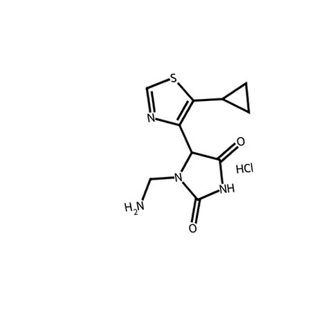 Cl.NCN1C(=O)NC(=O)C1c1ncsc1C1CC1